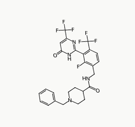 O=C(NCc1ccc(C(F)(F)F)c(-c2nc(C(F)(F)F)cc(=O)[nH]2)c1F)C1CCN(Cc2ccccc2)CC1